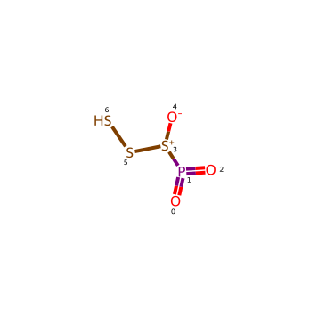 O=P(=O)[S+]([O-])SS